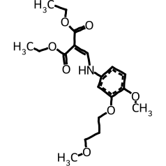 CCOC(=O)C(=CNc1ccc(OC)c(OCCCOC)c1)C(=O)OCC